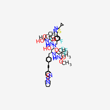 COC(=O)N[C@H](C(=O)N[C@@H](Cc1ccc(C#Cc2ccc(N3CC4CCC(C3)N4C3COC3)nc2)cc1)[C@@H](O)CN(Cc1c(F)cc(-c2nnc(C3CC3)s2)cc1F)NC(=O)[C@@H](NC(=O)O)C(C)(C)C)C(C)(C)C(F)(F)F